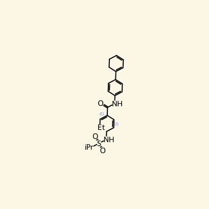 CC/C=C(\C=C/CNS(=O)(=O)C(C)C)C(=O)Nc1ccc(C2=CC=CCC2)cc1